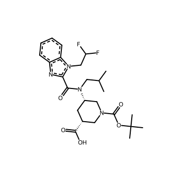 CC(C)CN(C(=O)c1nc2ccccc2n1CC(F)F)[C@H]1C[C@@H](C(=O)O)CN(C(=O)OC(C)(C)C)C1